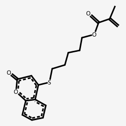 C=C(C)C(=O)OCCCCCSc1cc(=O)oc2ccccc12